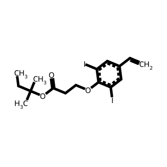 C=Cc1cc(I)c(OCCC(=O)OC(C)(C)CC)c(I)c1